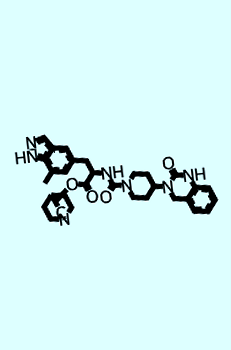 Cc1cc(CC(NC(=O)N2CCC(N3Cc4ccccc4NC3=O)CC2)C(=O)OC2CN3CCC2CC3)cc2cn[nH]c12